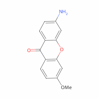 COc1ccc2c(=O)c3ccc(N)cc3oc2c1